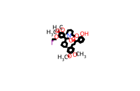 COc1ccc(CCC(OC(=O)C2CCCCN2C(=O)C(c2cc(OC)c(OC)c(OCCI)c2)C2CCCCC2)c2cccc(O)c2)cc1OC